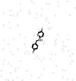 Fc1ccc(CNc2ccc(I)cn2)cc1